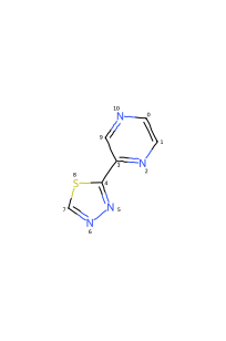 c1cnc(-c2nncs2)cn1